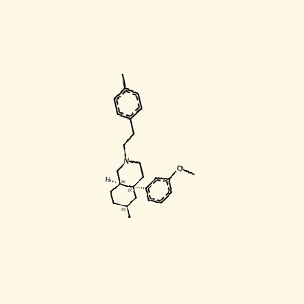 COc1cccc([C@@]23CCN(CCc4ccc(C)cc4)C[C@@H]2CC[C@H](C)C3)c1